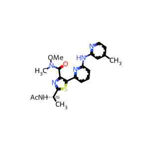 CON(C)C(=O)c1nc([C@H](C)NC(C)=O)sc1-c1cccc(Nc2cc(C)ccn2)n1